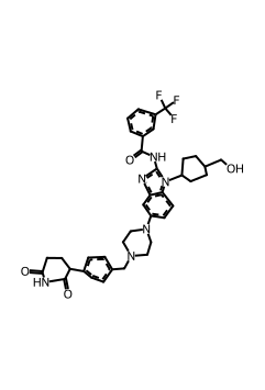 O=C1CCC(c2ccc(CN3CCN(c4ccc5c(c4)nc(NC(=O)c4cccc(C(F)(F)F)c4)n5C4CCC(CO)CC4)CC3)cc2)C(=O)N1